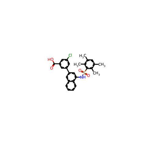 Cc1cc(C)c(C)c(S(=O)(=O)Nc2cc(-c3cc(Cl)cc(C(=O)O)c3)cc3ccccc23)c1C